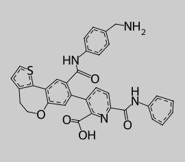 NCc1ccc(NC(=O)c2cc3c(cc2-c2ccc(C(=O)Nc4ccccc4)nc2C(=O)O)OCCc2ccsc2-3)cc1